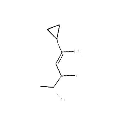 CC(C)[C@H](C)C(I)/C=C(\N)C1CC1